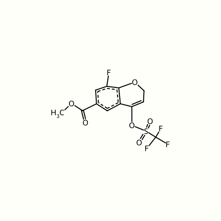 COC(=O)c1cc(F)c2c(c1)C(OS(=O)(=O)C(F)(F)F)=CCO2